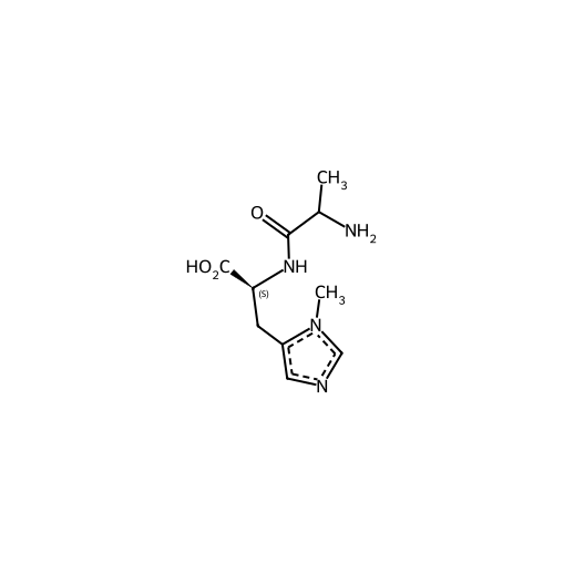 CC(N)C(=O)N[C@@H](Cc1cncn1C)C(=O)O